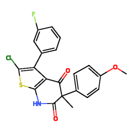 COc1ccc(C2(C)C(=O)Nc3sc(Cl)c(-c4cccc(F)c4)c3C2=O)cc1